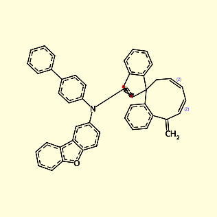 C=C1/C=C\C=C/CC2(c3ccccc31)c1ccccc1-c1cc(N(c3ccc(-c4ccccc4)cc3)c3ccc4oc5ccccc5c4c3)ccc12